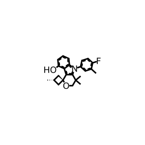 Cc1cc(-n2c3c(c4c(O)cccc42)[C@]2(C[C@@H](C)C2)OCC3(C)C)ccc1F